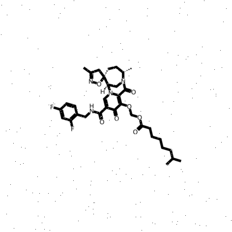 CC1=NO[C@@]2(CC[C@H](C)N3C[C@H]2n2cc(C(=O)NCc4ccc(F)cc4F)c(=O)c(OCOC(=O)CCCCCC(C)C)c2C3=O)C1